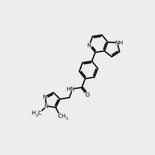 Cc1c(CNC(=O)c2ccc(-c3nccc4[nH]ccc34)cc2)cnn1C